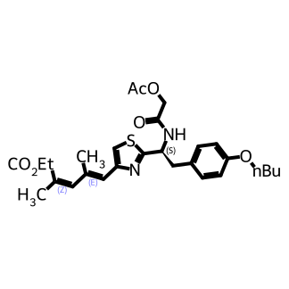 CCCCOc1ccc(C[C@H](NC(=O)COC(C)=O)c2nc(/C=C(C)/C=C(/C)C(=O)OCC)cs2)cc1